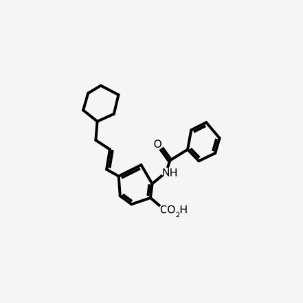 O=C(Nc1cc(/C=C/CC2CCCCC2)ccc1C(=O)O)c1ccccc1